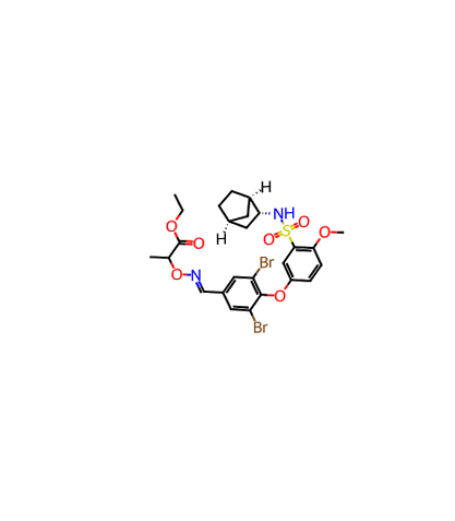 CCOC(=O)C(C)ON=Cc1cc(Br)c(Oc2ccc(OC)c(S(=O)(=O)N[C@@H]3C[C@H]4CC[C@@H]3C4)c2)c(Br)c1